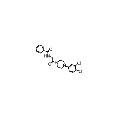 O=C(NCC(=O)N1CCN(c2ccc(Cl)c(Cl)c2)CC1)c1ccccc1